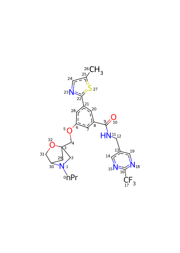 CCCN1CC2(COc3cc(C(=O)NCc4cnc(C(F)(F)F)nc4)cc(-c4ncc(C)s4)c3)CC1CO2